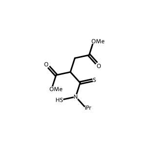 COC(=O)CC(C(=O)OC)C(=S)N(S)C(C)C